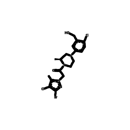 Cc1c(Cl)c(Br)nn1CC(=O)N1CCN(c2ccc(Cl)c(CO)c2)C[C@@H]1C